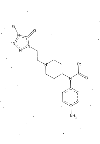 CCC(=O)N(c1ccc(N)cc1)C1CCN(CCn2nnn(CC)c2=O)CC1